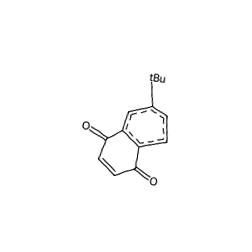 CC(C)(C)c1ccc2c(c1)C(=O)C=CC2=O